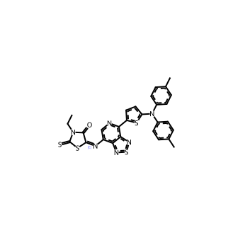 CCN1C(=O)/C(=N\c2cnc(-c3ccc(N(c4ccc(C)cc4)c4ccc(C)cc4)s3)c3nsnc23)SC1=S